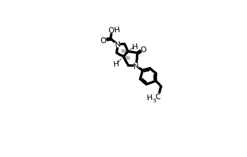 CCc1ccc(N2C[C@H]3CN(C(=O)O)C[C@H]3C2=O)cc1